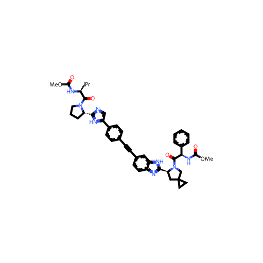 COC(=O)N[C@H](C(=O)N1CCC[C@H]1c1ncc(-c2ccc(C#Cc3ccc4nc([C@@H]5CC6(CC6)CN5C(=O)[C@H](NC(=O)OC)c5ccccc5)[nH]c4c3)cc2)[nH]1)C(C)C